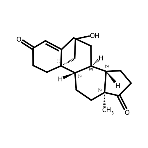 C[C@]12CC[C@H]3[C@@H](CCC4=CC(=O)CC[C@@]43CCO)[C@@H]1CCC2=O